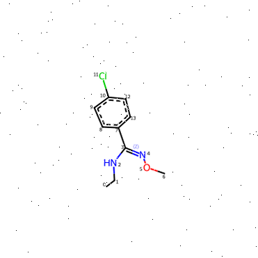 CCN/C(=N\OC)c1ccc(Cl)cc1